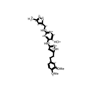 COc1ccc(CCc2cc(Nc3ccnc(NCc4cc(C)no4)n3)n[nH]2)cc1OC.Cl